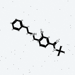 CC(C)(C)OC(=O)c1ccc(CNCCc2ccccc2)c(Br)c1